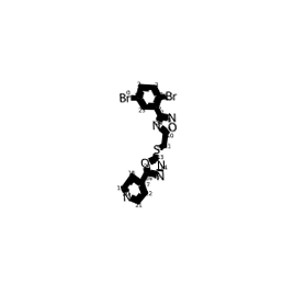 Brc1ccc(Br)c(-c2noc(CSc3nnc(-c4ccncc4)o3)n2)c1